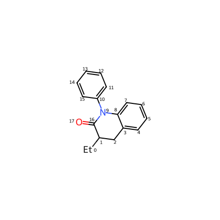 CCC1Cc2ccccc2N(c2ccccc2)C1=O